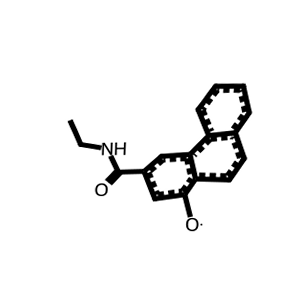 CCNC(=O)c1cc([O])c2ccc3ccccc3c2c1